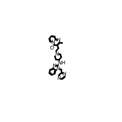 Cc1nc2ccccn2c(=O)c1CCN1CCC(Nc2nc3ccccc3n2Cc2cnccn2)CC1